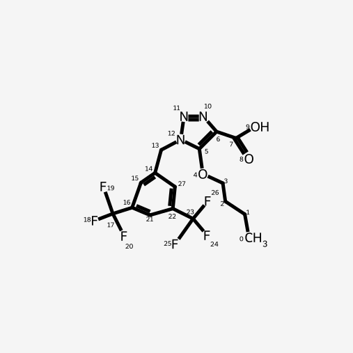 CCCCOc1c(C(=O)O)nnn1Cc1cc(C(F)(F)F)cc(C(F)(F)F)c1